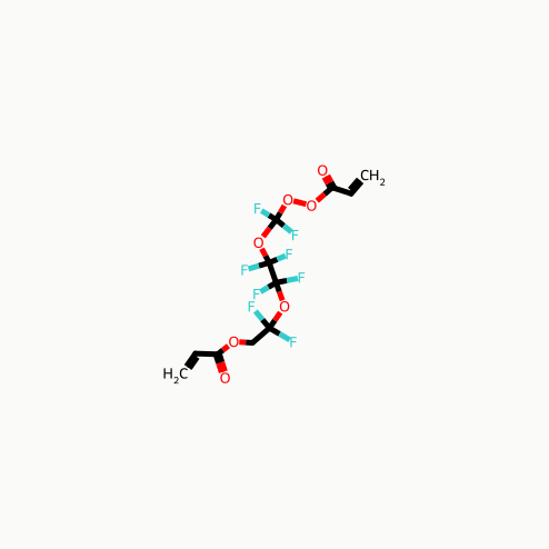 C=CC(=O)OCC(F)(F)OC(F)(F)C(F)(F)OC(F)(F)OOC(=O)C=C